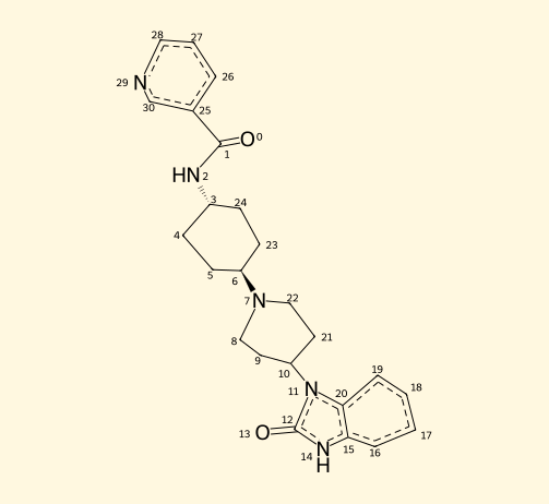 O=C(N[C@H]1CC[C@H](N2CCC(n3c(=O)[nH]c4ccccc43)CC2)CC1)c1cccnc1